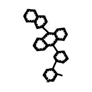 Cc1cnccc1-c1cccc(-c2c3ccccc3c(-c3ccc4ccccc4c3)c3ccccc23)c1